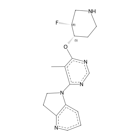 Cc1c(O[C@H]2CCNC[C@H]2F)ncnc1N1CCc2ncccc21